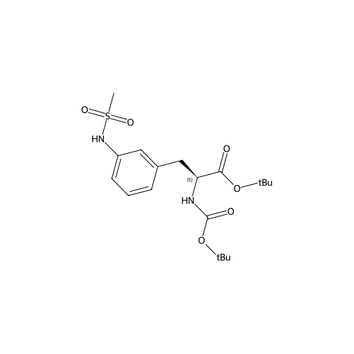 CC(C)(C)OC(=O)N[C@@H](Cc1cccc(NS(C)(=O)=O)c1)C(=O)OC(C)(C)C